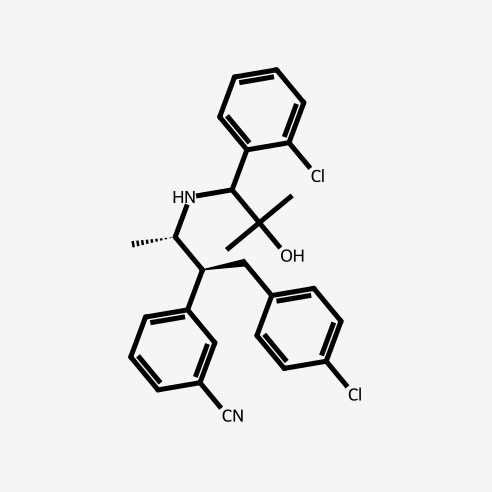 C[C@H](NC(c1ccccc1Cl)C(C)(C)O)[C@@H](Cc1ccc(Cl)cc1)c1cccc(C#N)c1